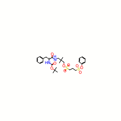 CC(C)(CNC(=O)[C@H](Cc1ccccc1)NC(=O)OC(C)(C)C)COS(=O)(=O)CCCS(=O)(=O)Oc1ccccc1